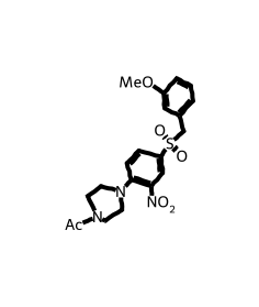 COc1cccc(CS(=O)(=O)c2ccc(N3CCN(C(C)=O)CC3)c([N+](=O)[O-])c2)c1